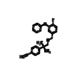 C#Cc1ccc(C(C)(C)COCc2ccc(F)c(Oc3ccccc3)c2)cc1